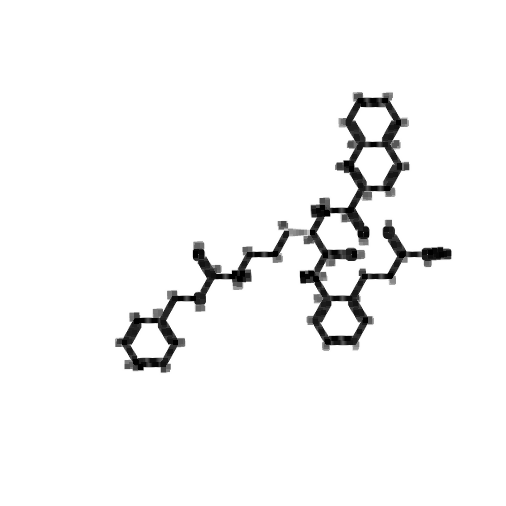 COC(=O)CCc1ccccc1NC(=O)[C@H](CCCNC(=O)OCc1ccncc1)NC(=O)c1ccc2ccccc2n1